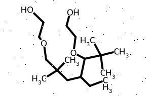 CCC(CC(C)(C)COCCO)C(OCCO)C(C)(C)C